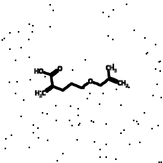 C=C(C)COCCCC(=C)C(=O)O